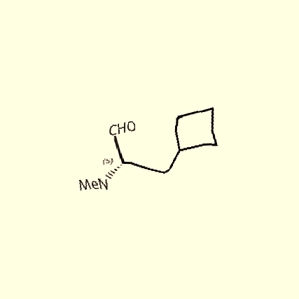 CN[C@H](C=O)CC1CCC1